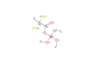 CO[Si](OC)(OC)OC(=O)C(C)(S)S